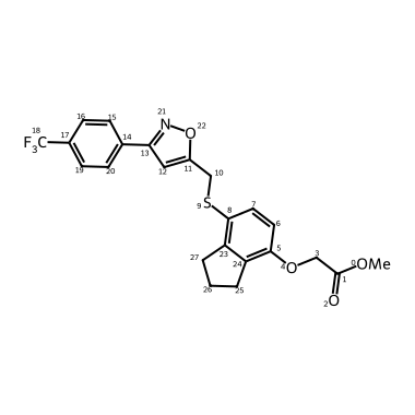 COC(=O)COc1ccc(SCc2cc(-c3ccc(C(F)(F)F)cc3)no2)c2c1CCC2